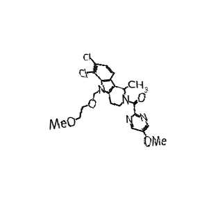 COCCOCn1c2c(c3ccc(Cl)c(Cl)c31)C(C)N(C(=O)c1ncc(OC)cn1)CC2